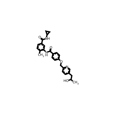 Cc1ccc(C(=O)NC2CC2)cc1NC(=O)c1ccc(OCc2ccc(CC(C)O)cn2)cc1